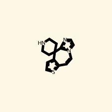 C1=Cn2ccnc2C2(CCNCC2)c2ccsc21